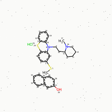 CSc1ccc2c(c1)N(CCC1CCCCN1C)c1ccccc1S2.Cl.Oc1ccc2ccccc2c1